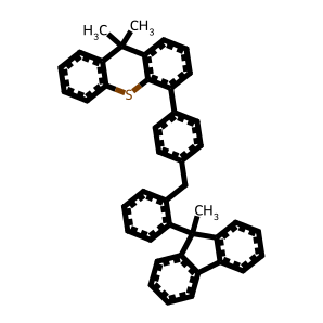 CC1(C)c2ccccc2Sc2c(-c3ccc(Cc4ccccc4C4(C)c5ccccc5-c5ccccc54)cc3)cccc21